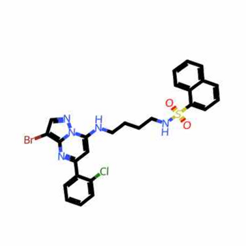 O=S(=O)(NCCCCNc1cc(-c2ccccc2Cl)nc2c(Br)cnn12)c1cccc2ccccc12